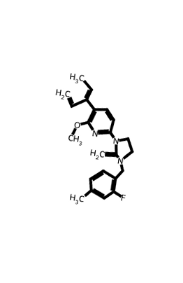 C=C/C(=C\C)c1ccc(N2CCN(Cc3ccc(C)cc3F)C2=C)nc1OC